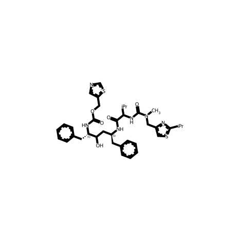 CC(C)c1nc(CN(C)C(=O)NC(C(=O)N[C@@H](Cc2ccccc2)CC(O)[C@H](Cc2ccccc2)NC(=O)OCc2cncs2)C(C)C)cs1